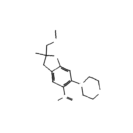 COCC1(C)Cc2cc([N+](=O)[O-])c(N3CCOCC3)cc2O1